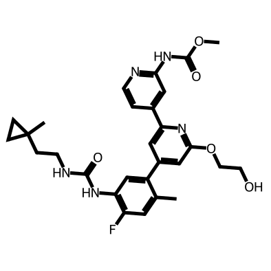 COC(=O)Nc1cc(-c2cc(-c3cc(NC(=O)NCCC4(C)CC4)c(F)cc3C)cc(OCCO)n2)ccn1